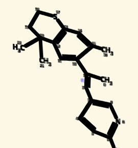 C/C(=C\c1ccc(C(=O)O)nc1)c1cc2c(cc1C)SCCC2(C)C